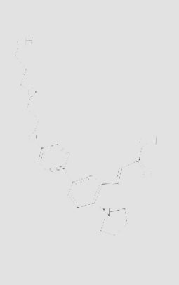 CCCCOCCOc1ccc(-c2ccc(N3CCCC3)c(C=CC(=O)O)c2)cc1